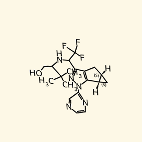 CC(C)(C)C(CO)NC(c1nn(-c2cnccn2)c2c1C[C@@H]1C[C@H]21)C(F)(F)F